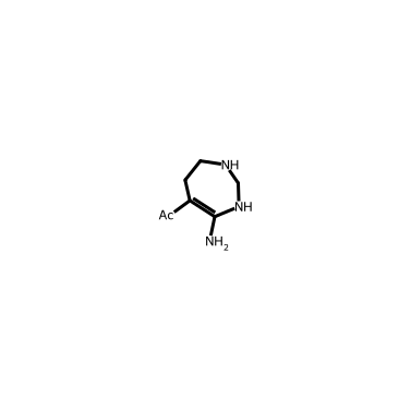 CC(=O)C1=C(N)NCNCC1